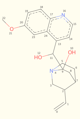 C=CC1CN2CCC1CC2(O)C(O)c1ccnc2ccc(OC)cc12